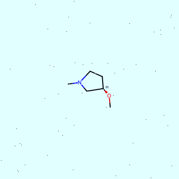 CO[C@@H]1CCN(C)C1